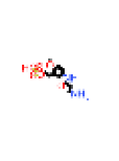 COc1ccc(NC(=O)CCN)cc1CCOS(=O)(=O)O